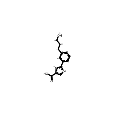 O=C(O)c1csc(-c2cccc(CCCO)c2)n1